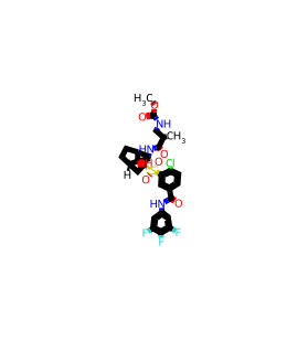 COC(=O)NCC(C)C(=O)NC[C@@]1(O)C2CC[C@H]1C[C@H](S(=O)(=O)c1cc(C(=O)Nc3cc(F)c(F)c(F)c3)ccc1Cl)C2